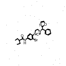 CCC(CC)C(=O)Nc1ccc(N2CCN(C(c3ccccc3)c3ncco3)CC2)c(Br)c1